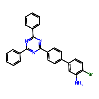 Nc1cc(-c2ccc(-c3nc(-c4ccccc4)nc(-c4ccccc4)n3)cc2)ccc1Br